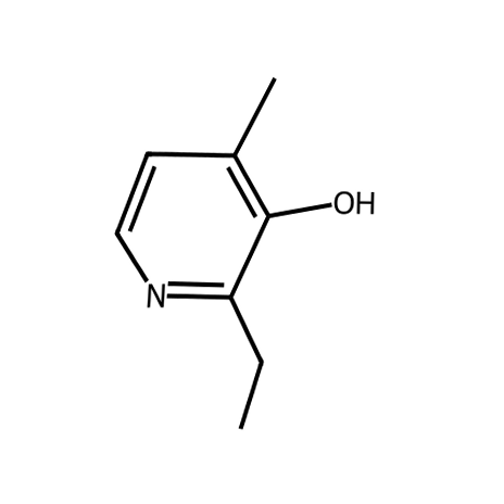 CCc1nccc(C)c1O